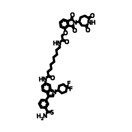 NC(=S)c1cccc(-c2cn(C3CCC(F)(F)CC3)c3cc(NC(=O)CCCCCCCCNC(=O)COc4cccc5c4C(=O)N(C4CCC(=O)NC(=O)C4)C5=O)ccc23)c1